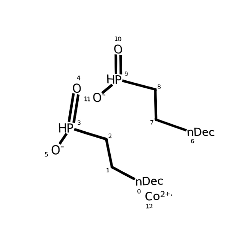 CCCCCCCCCCCC[PH](=O)[O-].CCCCCCCCCCCC[PH](=O)[O-].[Co+2]